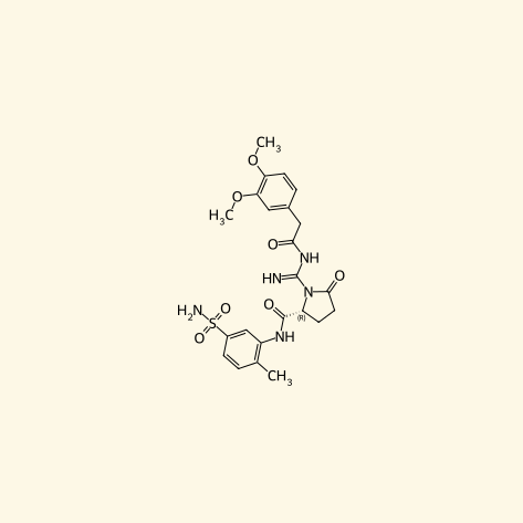 COc1ccc(CC(=O)NC(=N)N2C(=O)CC[C@@H]2C(=O)Nc2cc(S(N)(=O)=O)ccc2C)cc1OC